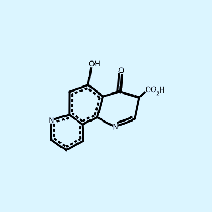 O=C(O)C1C=Nc2c(c(O)cc3ncccc23)C1=O